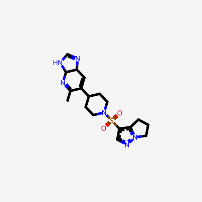 CC1=NC2NC=NC2C=C1C1CCN(S(=O)(=O)c2cnn3c2CCC3)CC1